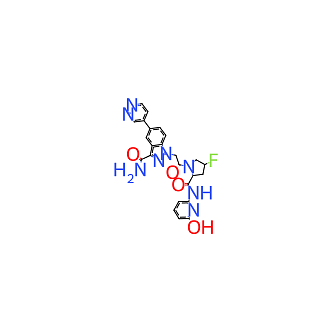 NC(=O)c1nn(CC(=O)N2CC(F)CC2C(=O)Nc2cccc(O)n2)c2ccc(-c3ccnnc3)cc12